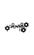 O=C(COc1ccccc1)OCC=NNC(=O)N(c1ccccc1)c1ccccc1